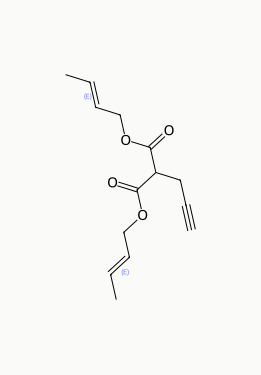 C#CCC(C(=O)OC/C=C/C)C(=O)OC/C=C/C